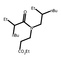 CCCCC(CC)CN(CCC(=O)OCC)C(=O)C(CC)CCCC